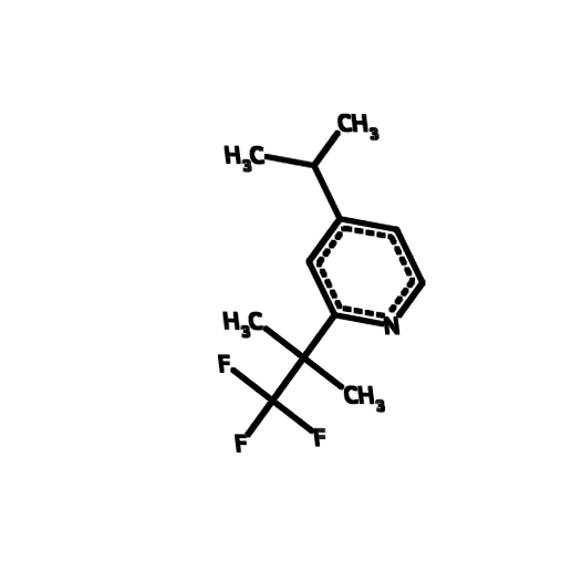 CC(C)c1ccnc(C(C)(C)C(F)(F)F)c1